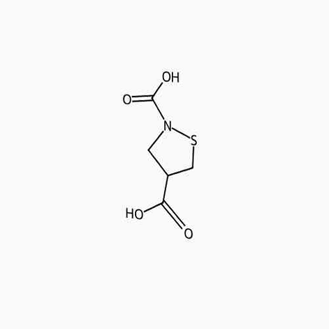 O=C(O)C1CSN(C(=O)O)C1